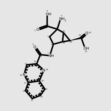 NC1(C(=O)O)CC(NC(=O)c2cnc3ccccc3n2)C2C1[C@H]2C(=O)O